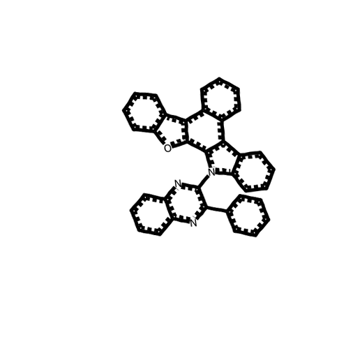 c1ccc(-c2nc3ccccc3nc2-n2c3ccccc3c3c4ccccc4c4c5ccccc5oc4c32)cc1